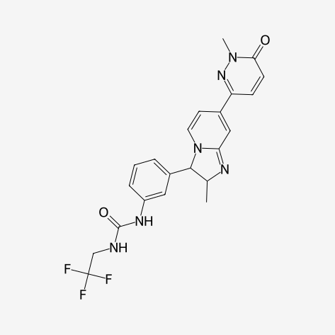 CC1N=C2C=C(c3ccc(=O)n(C)n3)C=CN2C1c1cccc(NC(=O)NCC(F)(F)F)c1